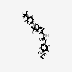 CCS(=O)(=O)c1ccc(CC(=O)Nc2nc3c(s2)CN(c2ncc(C(F)(F)F)cn2)C3(C)C)cc1